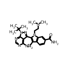 CN(C)CCn1c(-c2nn(C(C)(C)C)c3ncnc(N)c23)c(Cl)c2ccc(C(N)=O)cc21